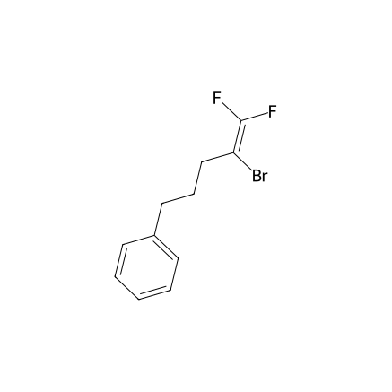 FC(F)=C(Br)CCCc1ccccc1